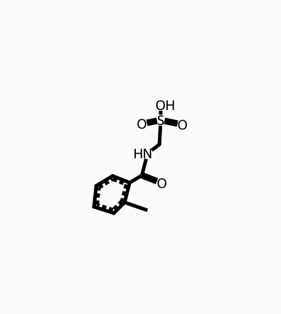 Cc1ccccc1C(=O)NCS(=O)(=O)O